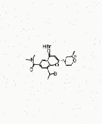 Br.CC(Br)c1cc(C(=O)N(C)C)cc2c(=O)cc(N3CCO[C@H](C)C3)oc12